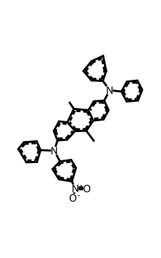 Cc1c2ccc(N(c3ccccc3)c3ccc([N+](=O)[O-])cc3)cc2c(C)c2ccc(N(c3ccccc3)c3ccccc3)cc12